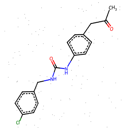 CC(=O)Cc1ccc(NC(=O)NCc2ccc(Cl)cc2)cc1